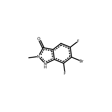 Cn1[nH]c2c(F)c(Br)c(F)cc2c1=O